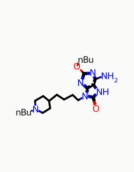 CCCCOc1nc(N)c2[nH]c(=O)n(CCCCC3CCN(CCCC)CC3)c2n1